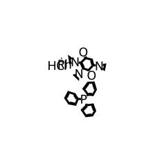 Cl.O=C1C=C(N2CC2)C(=O)C(N2CC2)=C1N1CC1.[Rh].c1ccc(P(c2ccccc2)c2ccccc2)cc1